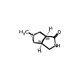 CN1C[C@@H]2CNC(=O)[C@@H]2C1